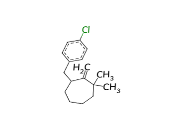 C=C1C(Cc2ccc(Cl)cc2)CCCCC1(C)C